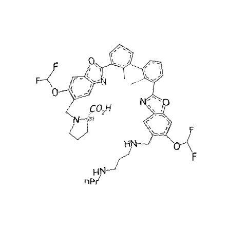 CCCNCCCNCc1cc2nc(-c3cccc(-c4cccc(-c5nc6cc(CN7CCC[C@H]7C(=O)O)c(OC(F)F)cc6o5)c4C)c3C)oc2cc1OC(F)F